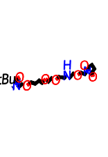 CN(CCOCCCCOCCOCCNCCOCCN1C(=O)CCC1=O)C(=O)C(C)(C)C